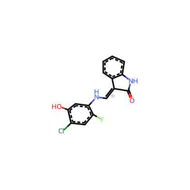 O=C1Nc2ccccc2/C1=C\Nc1cc(O)c(Cl)cc1F